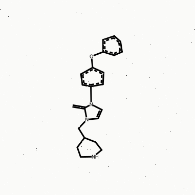 C=C1N(CC2CCNCC2)C=CN1c1ccc(Oc2ccccc2)cc1